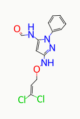 O=CNc1cc(NOCC=C(Cl)Cl)nn1-c1ccccc1